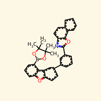 CC1(C)OB(c2cccc3oc4ccc(-c5cccc(-c6nc7ccc8ccccc8c7o6)c5)cc4c23)OC1(C)C